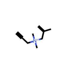 C#CC[N+](C)(C)CC(=C)C